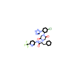 O=C(Nc1ccc(C(F)(F)F)nc1)C(Cc1ccccc1)N1CC(=O)N(c2cc(Cl)ccc2-n2cnnn2)CC1=O